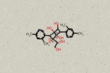 Cc1ccc(C2C(O)[C@@]3(O)C(c4ccc(C)cc4C)[C@@](O)([C@H](O)CO)[C@@]23O)c(C)c1